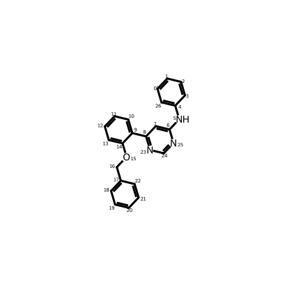 [c]1cccc(Nc2cc(-c3ccccc3OCc3ccccc3)ncn2)c1